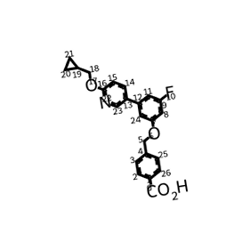 O=C(O)c1ccc(COc2cc(F)cc(-c3ccc(OCC4CC4)nc3)c2)cc1